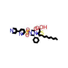 CC=CC=CC=Cc1cc(N2C(=O)CN(S(=O)(=O)c3ccc(-c4ccncc4)nc3)C[C@H]2C2CCCCC2)c(C(=O)O)s1